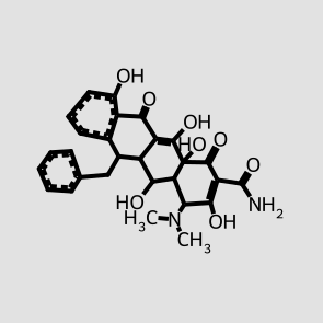 CN(C)C1C(O)=C(C(N)=O)C(=O)C2(O)C(O)=C3C(=O)c4c(O)cccc4C(Cc4ccccc4)C3C(O)C12